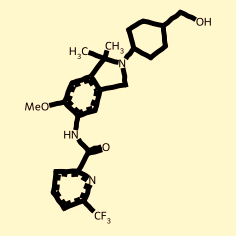 COc1cc2c(cc1NC(=O)c1cccc(C(F)(F)F)n1)CN(C1CCC(CO)CC1)C2(C)C